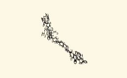 CC(C)(C(=O)Nc1ccc(C#N)c(C(F)(F)F)c1)n1cc(C2CCN(C3CC4CN(c5ccc6c(c5)C(=O)N(C5CCC(=O)NC5=O)C6=O)CC4C3)CC2)cn1